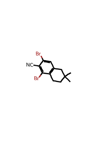 CC1(C)CCc2c(cc(Br)c(C#N)c2Br)C1